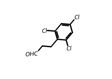 O=CCCc1c(Cl)cc(Cl)cc1Cl